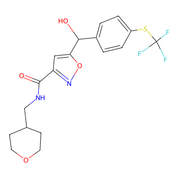 O=C(NCC1CCOCC1)c1cc(C(O)c2ccc(SC(F)(F)F)cc2)on1